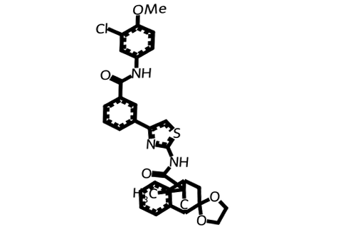 COc1ccc(NC(=O)c2cccc(-c3csc(NC(=O)C4(C)CC5c6ccccc6C4CC54OCCO4)n3)c2)cc1Cl